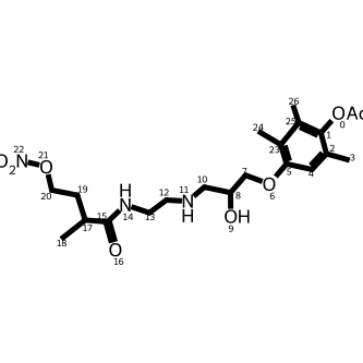 CC(=O)Oc1c(C)cc(OCC(O)CNCCNC(=O)C(C)CCO[N+](=O)[O-])c(C)c1C